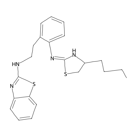 CCCCC1CS/C(=N/c2ccccc2CCNc2nc3ccccc3s2)N1